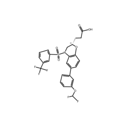 O=C(O)CC[C@H]1CN(S(=O)(=O)c2cccc(C(F)(F)F)c2)c2cc(-c3cccc(OC(F)F)c3)ccc2O1